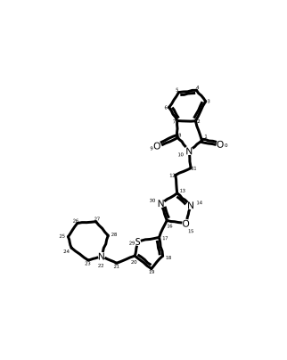 O=C1c2ccccc2C(=O)N1CCc1noc(-c2ccc(CN3CCCCCC3)s2)n1